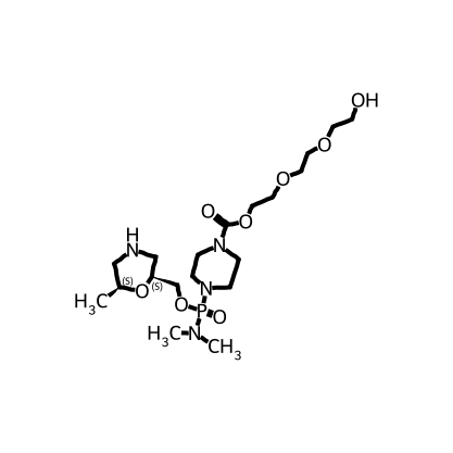 C[C@H]1CNC[C@@H](COP(=O)(N(C)C)N2CCN(C(=O)OCCOCCOCCO)CC2)O1